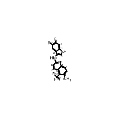 Cc1ccc2nc(Nc3c[nH]c4cc(F)c(F)cc34)ccc2c1C(F)(F)F